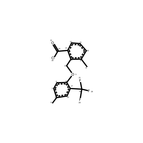 Cc1ccc(OCc2c(C)cccc2C(=O)Cl)c(C(F)(F)F)c1